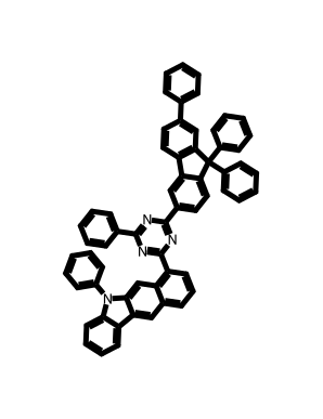 c1ccc(-c2ccc3c(c2)C(c2ccccc2)(c2ccccc2)c2ccc(-c4nc(-c5ccccc5)nc(-c5cccc6cc7c8ccccc8n(-c8ccccc8)c7cc56)n4)cc2-3)cc1